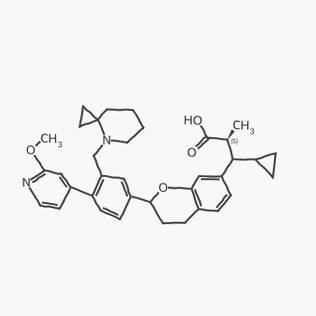 COc1cc(-c2ccc(C3CCc4ccc(C(C5CC5)[C@H](C)C(=O)O)cc4O3)cc2CN2CCCCC23CC3)ccn1